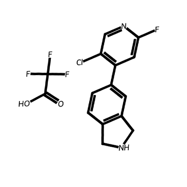 Fc1cc(-c2ccc3c(c2)CNC3)c(Cl)cn1.O=C(O)C(F)(F)F